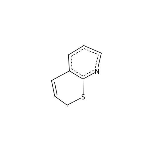 [CH]1C=Cc2cccnc2S1